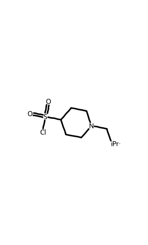 C[C](C)CN1CCC(S(=O)(=O)Cl)CC1